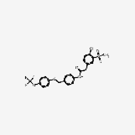 CS(=O)(=O)c1cc(CC(=O)Nc2ccc(CSc3ccc(OC(F)(F)F)cc3)cc2)ccc1O